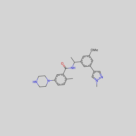 COc1cc(-c2cnn(C)c2)cc(C(C)NC(=O)c2cc(N3CCNCC3)ccc2C)c1